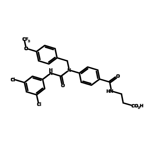 O=C(O)CCNC(=O)c1ccc(N(Cc2ccc(OC(F)(F)F)cc2)C(=O)Nc2cc(Cl)cc(Cl)c2)cc1